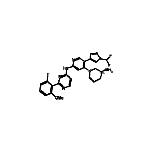 COc1cccc(F)c1-c1nccc(Nc2cc(N3CCC[C@H](N)C3)c(-c3cnn(C(F)F)c3)cn2)n1